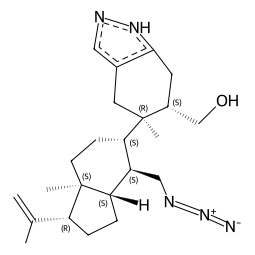 C=C(C)[C@H]1CC[C@H]2[C@H](CN=[N+]=[N-])[C@@H]([C@@]3(C)Cc4cn[nH]c4C[C@@H]3CO)CC[C@]12C